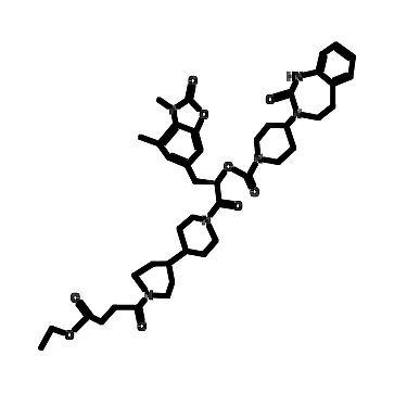 CCOC(=O)CCC(=O)N1CCC(C2CCN(C(=O)[C@@H](Cc3cc(C)c4c(c3)oc(=O)n4C)OC(=O)N3CCC(N4CCc5ccccc5NC4=O)CC3)CC2)CC1